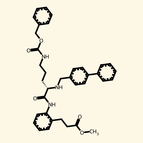 COC(=O)CCc1ccccc1NC(=O)[C@H](CCCNC(=O)OCc1ccccc1)NCc1ccc(-c2ccccc2)cc1